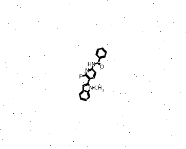 Cn1c(-c2ccc(NC(=O)c3ccccc3)nc2F)cc2ccccc21